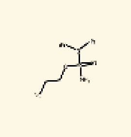 CC(C)N(C(C)C)P(N)(=O)OCCC#N